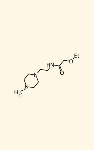 [CH2]COCC(=O)NCCN1CCN(C)CC1